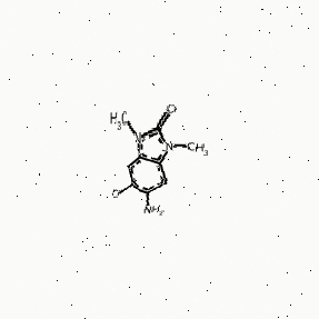 Cn1c(=O)n(C)c2cc(Cl)c(N)cc21